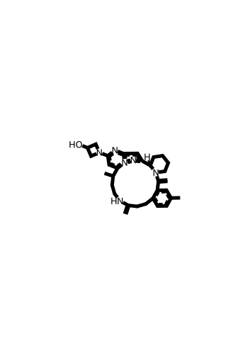 C=C1CCc2ccc(C)cc2C(=C)N2CCCC[C@H]2c2cc3nc(N4CC(O)C4)cc(n3n2)C(C)CCN1